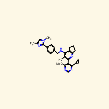 COc1ncnc(C2CC2)c1-c1nc2c(c(NCc3ccc(-c4nc(C(F)(F)F)cn4C)cc3)c1C#N)CCC2